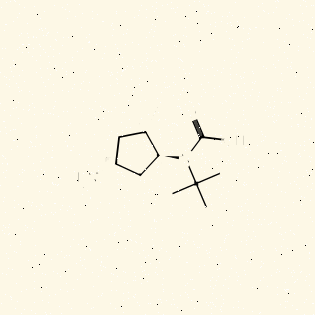 C[C@H]1C[C@@H](N)C[C@@H]1N(C(=O)O)C(C)(C)C